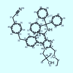 CCOCc1nc2c(NC(c3ccccc3)(c3ccccc3)c3ccccc3)nc3cc(Cc4ccc(CC#N)cc4)ccc3c2n1CC(C)(C)O